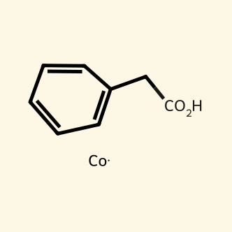 O=C(O)Cc1ccccc1.[Co]